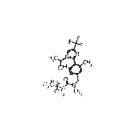 Cc1cc(CN(C)C(=O)OC(C)(C)C)ccc1-c1nc(C(F)(F)F)cn1C(C)C